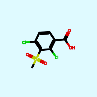 CS(=O)(=O)c1c(Cl)ccc(C(=O)O)c1Cl